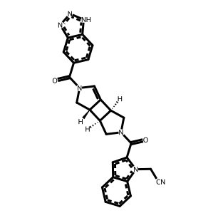 N#CCn1c(C(=O)N2C[C@H]3[C@@H]4CN(C(=O)c5ccc6[nH]nnc6c5)C=C4[C@H]3C2)cc2ccccc21